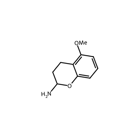 COc1cccc2c1CCC(N)O2